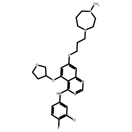 CN1CCCN(CCCOc2cc(OC3CCOC3)c3c(Nc4ccc(F)c(Cl)c4)ncnc3c2)CC1